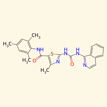 Cc1cc(C)c(NC(=O)c2sc(NC(=O)Nc3nccc4ccccc34)nc2C)c(C)c1